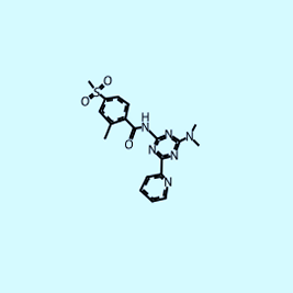 Cc1cc(S(C)(=O)=O)ccc1C(=O)Nc1nc(-c2ccccn2)nc(N(C)C)n1